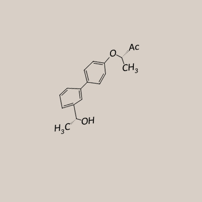 CC(=O)[C@H](C)Oc1ccc(-c2cccc([C@@H](C)O)c2)cc1